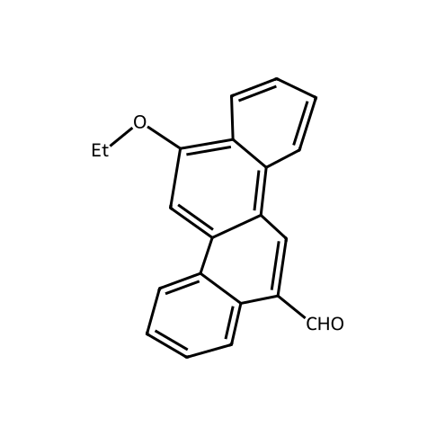 CCOc1cc2c3ccccc3c(C=O)cc2c2ccccc12